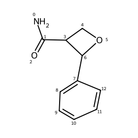 NC(=O)C1COC1c1ccccc1